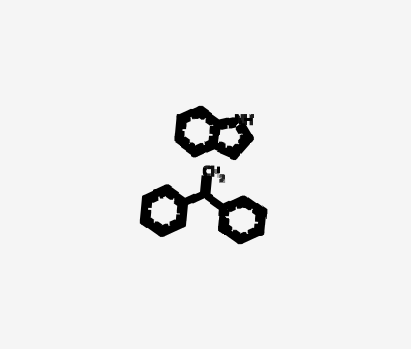 C=C(c1ccccc1)c1ccccc1.c1ccc2[nH]ccc2c1